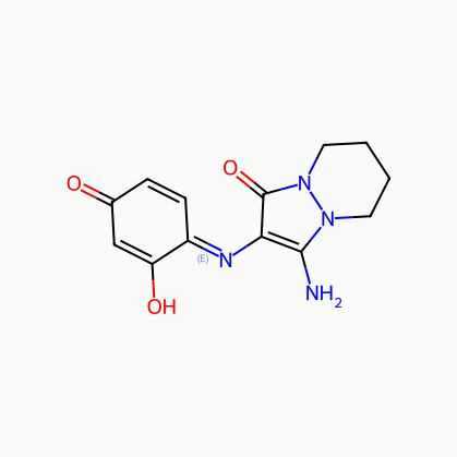 Nc1c(/N=C2\C=CC(=O)C=C2O)c(=O)n2n1CCCC2